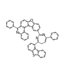 C1=C(c2ccccc2)N=C(c2ccc3oc4ccc5c(-c6ccccc6)nc6ccccc6c5c4c3c2)N=C(c2cccc3sc4ccccc4c23)C1